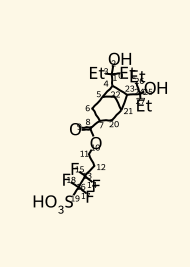 CCC(O)(CC)C1C2CC(C(=O)OCCC(F)(F)C(F)(F)S(=O)(=O)O)CC(C2)C1C(O)(CC)CC